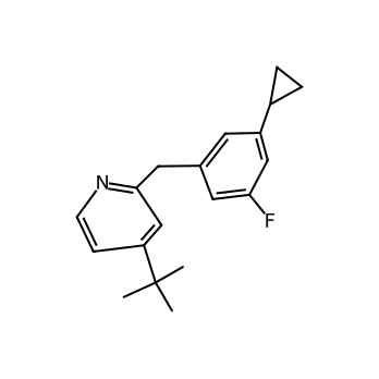 CC(C)(C)c1ccnc(Cc2cc(F)cc(C3CC3)c2)c1